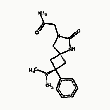 CN(C)[C@]1(c2ccccc2)C[C@@]2(CN(CC(N)=O)C(=O)N2)C1